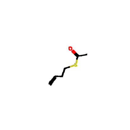 C=CCCSC(C)=O